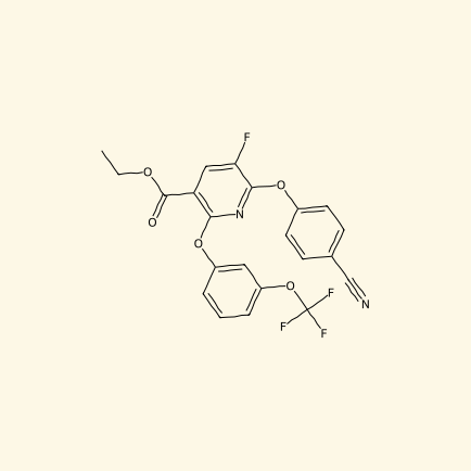 CCOC(=O)c1cc(F)c(Oc2ccc(C#N)cc2)nc1Oc1cccc(OC(F)(F)F)c1